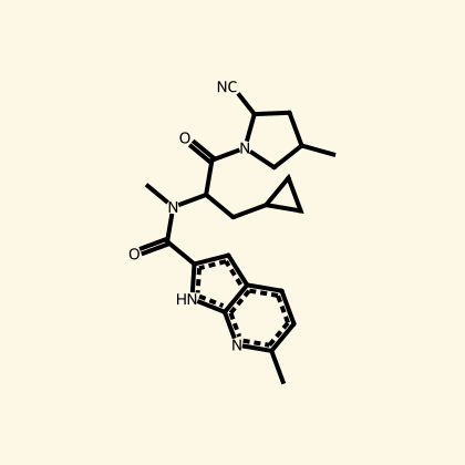 Cc1ccc2cc(C(=O)N(C)C(CC3CC3)C(=O)N3CC(C)CC3C#N)[nH]c2n1